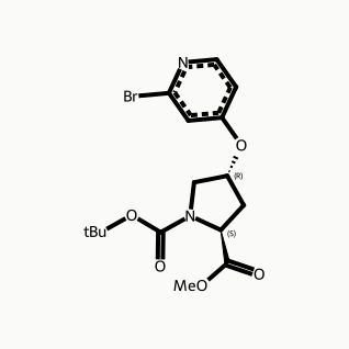 COC(=O)[C@@H]1C[C@@H](Oc2ccnc(Br)c2)CN1C(=O)OC(C)(C)C